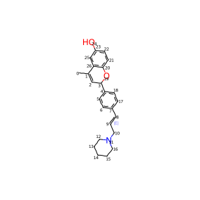 CC1=CC(c2ccc(/C=C/CN3CCCCC3)cc2)Oc2ccc(O)cc21